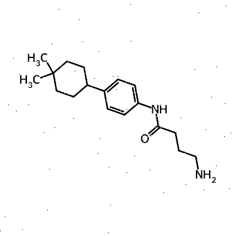 CC1(C)CCC(c2ccc(NC(=O)CCCN)cc2)CC1